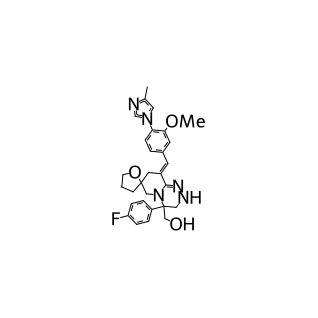 COc1cc(/C=C2\CC3(CCCO3)CN3C2=NNCC3(CO)c2ccc(F)cc2)ccc1-n1cnc(C)c1